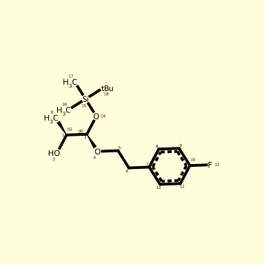 C[C@H](O)[C@H](OCCc1ccc(F)cc1)O[Si](C)(C)C(C)(C)C